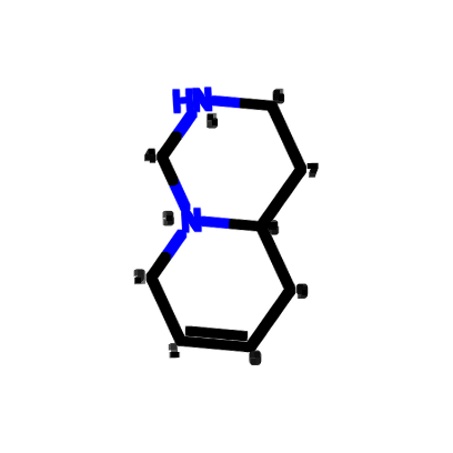 C1=CCN2CNCCC2C1